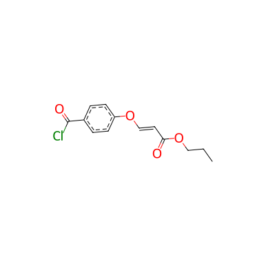 CCCOC(=O)C=COc1ccc(C(=O)Cl)cc1